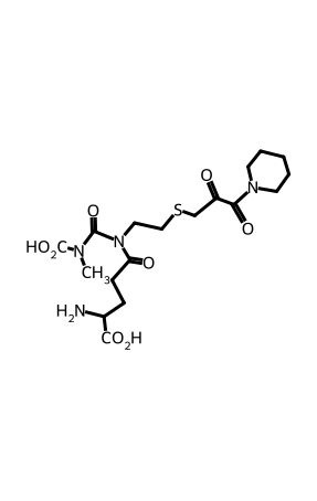 CN(C(=O)O)C(=O)N(CCSCC(=O)C(=O)N1CCCCC1)C(=O)CCC(N)C(=O)O